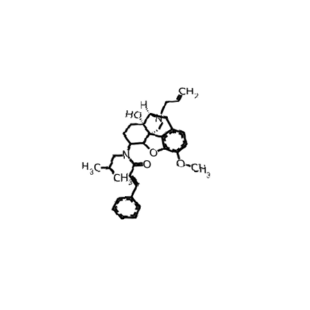 C=CCN1CC[C@]23c4c5ccc(OC)c4OC2C(N(CC(C)C)C(=O)/C=C/c2ccccc2)CC[C@@]3(O)[C@H]1C5